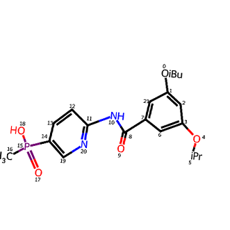 CC(C)COc1cc(OC(C)C)cc(C(=O)Nc2ccc(P(C)(=O)O)cn2)c1